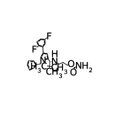 CC(C)(C)[C@@H](NCCCOC(N)=O)c1cc(-c2cc(F)ccc2F)cn1Cc1ccccc1